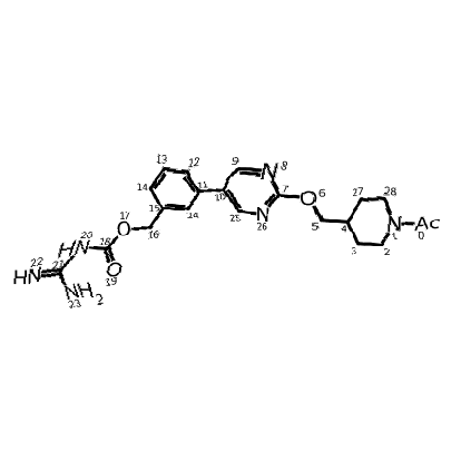 CC(=O)N1CCC(COc2ncc(-c3cccc(COC(=O)NC(=N)N)c3)cn2)CC1